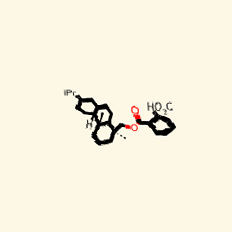 CC(C)C1=CC2=CCC3[C@@](C)(COC(=O)c4ccccc4C(=O)O)CCC[C@]3(C)[C@@H]2CC1